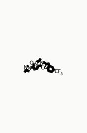 Cc1cn(-c2ccc3c(=O)n(Cc4cc5c(s4)CCC(C(F)(F)F)C5)c(C)cn3c2=O)cn1